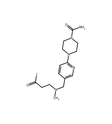 CN(CCC(=O)I)Cc1ccc(N2CCN(C(N)=O)CC2)nc1